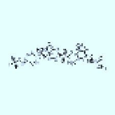 CC(=O)NCc1cc(C)c(CCS(=O)(=O)N2CCC3(CC2)N=C(C2CCC(CCC(F)(F)F)CC2)NC3=O)c(C)c1